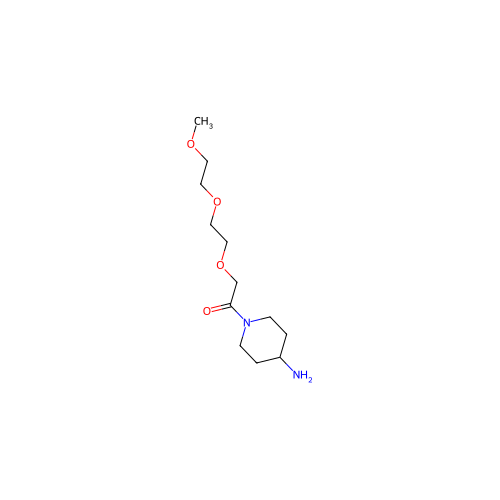 COCCOCCOCC(=O)N1CCC(N)CC1